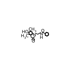 Cc1cc2c(c(C)c1O)CC1(COC1)CN2CCCNC(=O)c1ccccc1